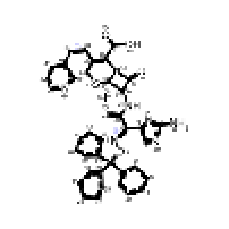 Nc1nc(/C(=N\OC(c2ccccc2)(c2ccccc2)c2ccccc2)C(=O)N[C@@H]2C(=O)N3C(C(=O)O)=C(/C=C\c4cccnc4)CS[C@H]23)cs1